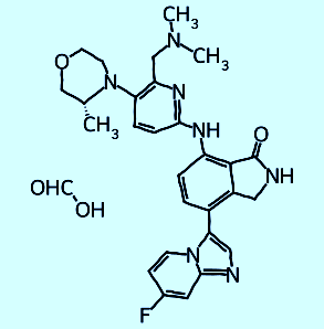 C[C@@H]1COCCN1c1ccc(Nc2ccc(-c3cnc4cc(F)ccn34)c3c2C(=O)NC3)nc1CN(C)C.O=CO